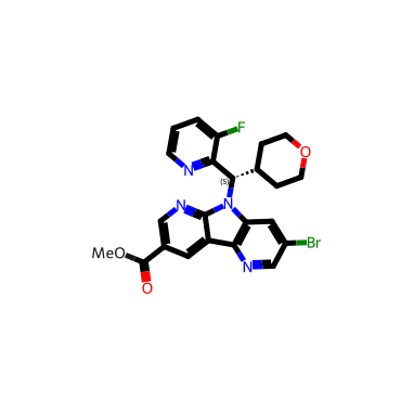 COC(=O)c1cnc2c(c1)c1ncc(Br)cc1n2[C@H](c1ncccc1F)C1CCOCC1